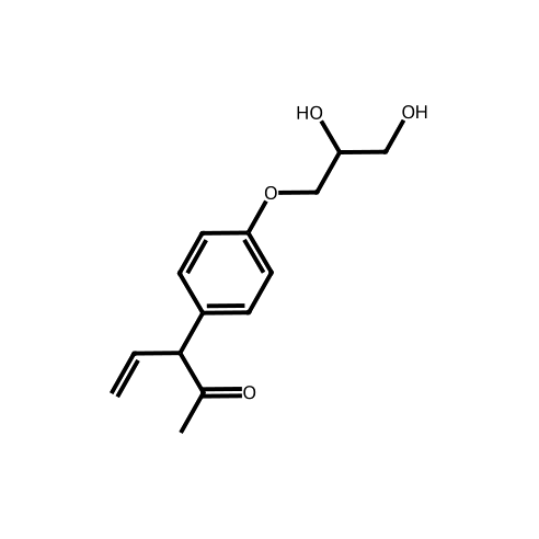 C=CC(C(C)=O)c1ccc(OCC(O)CO)cc1